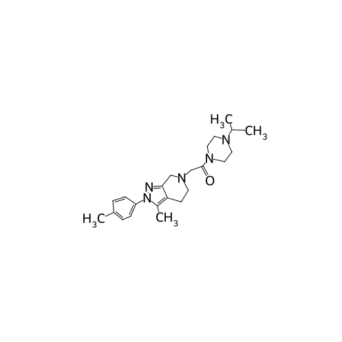 Cc1ccc(-n2nc3c(c2C)CCN(CC(=O)N2CCN(C(C)C)CC2)C3)cc1